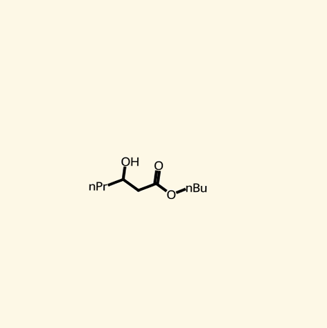 CCCCOC(=O)CC(O)CCC